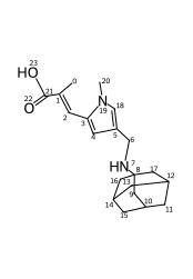 CC(=Cc1cc(CNC23CC4CC(CC(C4)C2)C3)cn1C)C(=O)O